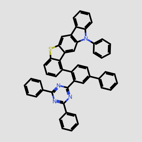 c1ccc(-c2ccc(-c3cccc4sc5cc6c7ccccc7n(-c7ccccc7)c6cc5c34)c(-c3nc(-c4ccccc4)nc(-c4ccccc4)n3)c2)cc1